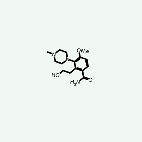 COc1ccc(C(N)=O)c(CCO)c1N1CCN(C)CC1